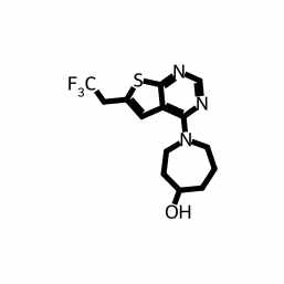 OC1CCCN(c2ncnc3sc(CC(F)(F)F)cc23)CC1